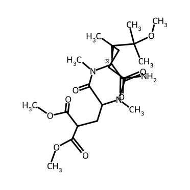 CCCC(=O)N(C)C(CC(C(=O)OC)C(=O)OC)C(=O)N(C)[C@@H](CC(C)(C)OC)C(N)=O